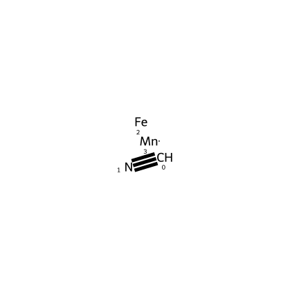 C#N.[Fe].[Mn]